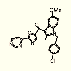 COc1ccc2c(c1)c(C(=O)c1cnc(-c3ccncn3)o1)c(C)n2Cc1ccc(Cl)cc1